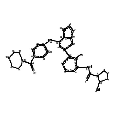 Cc1c(NC(=O)N2CCCC2O)cccc1-c1cc(Nc2ccc(C(=O)N3CCOCC3)cn2)c2nccn2c1